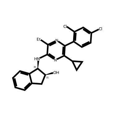 CCc1nc(-c2ccc(Cl)cc2Cl)c(C2CC2)nc1N[C@@H]1c2ccccc2C[C@@H]1O